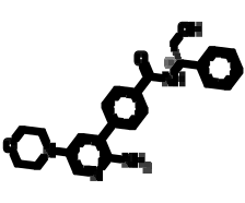 Nc1ncc(N2CCOCC2)cc1-c1ccc(C(=O)N[C@H](CO)c2ccccc2)cc1